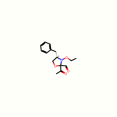 CCON1[C@@H](Cc2ccccc2)COC1(C=O)C(C)=O